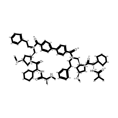 CN[C@@H](C)C(=O)N[C@H](C(=O)N1C[C@@H](OC)C[C@H]1CN(CCc1ccccc1)C(=O)c1ccc(-c2ccc(C(=O)N(CCc3ccccc3)C[C@@H]3C[C@H](OC)CN3C(=O)[C@@H](NC(=O)C(C)C)C3CCCCC3)cc2)cc1)C1CCCCC1